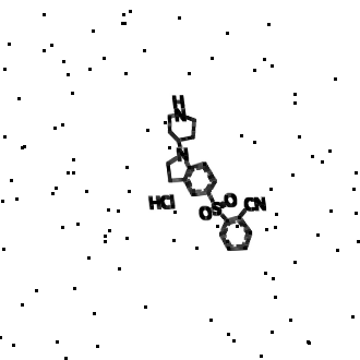 Cl.N#Cc1ccccc1S(=O)(=O)c1ccc2c(c1)CCN2C1CCNCC1